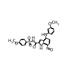 COc1ccc(S(=O)(=O)NC(=O)c2cc3c(Nc4cccc(OC)c4)ccc(N=O)c3[nH]2)cc1